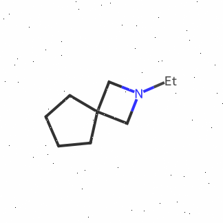 CCN1CC2(CCCC2)C1